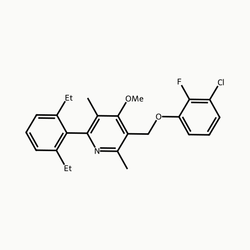 CCc1cccc(CC)c1-c1nc(C)c(COc2cccc(Cl)c2F)c(OC)c1C